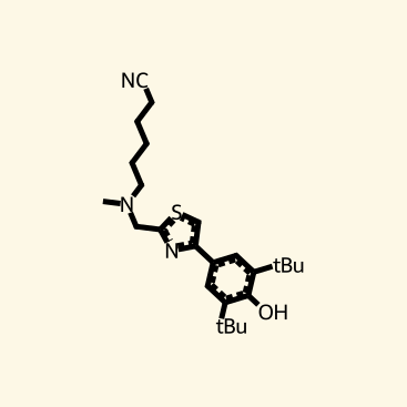 CN(CCCCCC#N)Cc1nc(-c2cc(C(C)(C)C)c(O)c(C(C)(C)C)c2)cs1